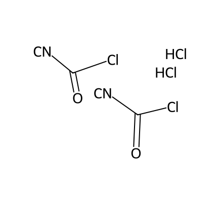 Cl.Cl.[C-]#[N+]C(=O)Cl.[C-]#[N+]C(=O)Cl